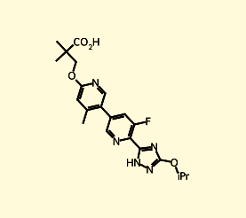 Cc1cc(OCC(C)(C)C(=O)O)ncc1-c1cnc(-c2nc(OC(C)C)n[nH]2)c(F)c1